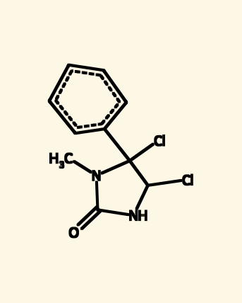 CN1C(=O)NC(Cl)C1(Cl)c1ccccc1